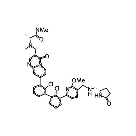 CNC(=O)[C@@H](C)N(C)Cc1cnc2cc(-c3cccc(-c4cccc(-c5ccc(CNC[C@@H]6CCC(=O)N6)c(OC)n5)c4Cl)c3Cl)ccn2c1=O